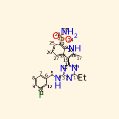 CCc1nc(NCc2cccc(F)c2)nc(-c2c(C)[nH]c3c(S(N)(=O)=O)cccc23)n1